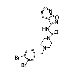 O=C(Nc1noc2ncccc12)N1CCN(Cc2ccc(Br)c(Br)c2)CC1